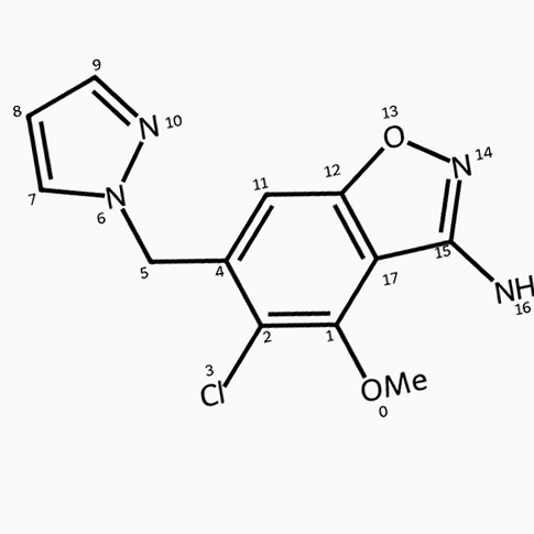 COc1c(Cl)c(Cn2cccn2)cc2onc(N)c12